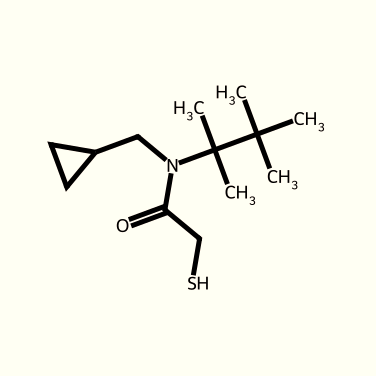 CC(C)(C)C(C)(C)N(CC1CC1)C(=O)CS